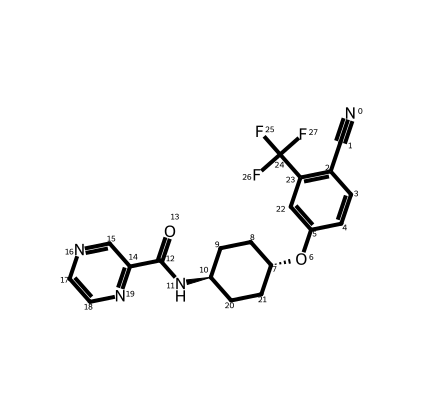 N#Cc1ccc(O[C@H]2CC[C@H](NC(=O)c3cnccn3)CC2)cc1C(F)(F)F